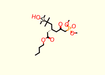 CCCCOC(=O)C[C@@H](CC(=O)CP(=O)(OC)OC)CC(C)(C)[Si](C)(C)O